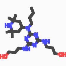 CCCCN(c1nc(NCCCO)nc(NCCCO)n1)C1CC(C)(C)NC(C)(C)C1